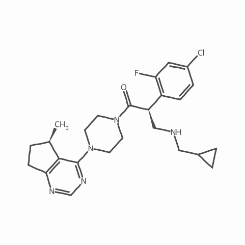 C[C@@H]1CCc2ncnc(N3CCN(C(=O)[C@H](CNCC4CC4)c4ccc(Cl)cc4F)CC3)c21